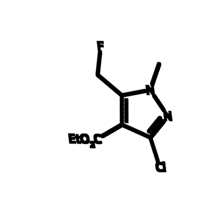 CCOC(=O)c1c(Cl)nn(C)c1CF